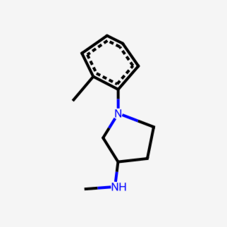 CNC1CCN(c2ccccc2C)C1